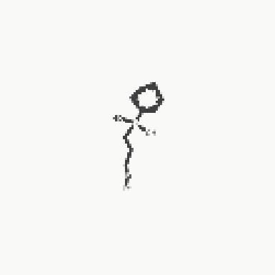 CCNCCC[Si](O)(O)c1ccccc1